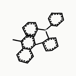 Cc1ccc(-c2ccccc2P(c2ccccc2)c2ccccc2)c2ccccc12